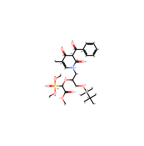 COC(=O)C(OC(CO[Si](C)(C)C(C)(C)C)CN1C=C(C)C(=O)C(C(=O)c2ccccc2)C1=O)P(=O)(OC)OC